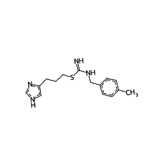 Cc1ccc(CNC(=N)SCCCc2c[nH]cn2)cc1